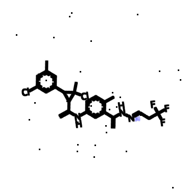 C=C(N/N=C/CC(F)(F)F)c1cc(NC(=C)C2C(c3cc(C)cc(Cl)c3)C2(C)Cl)ccc1C